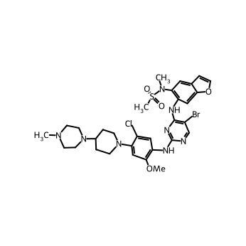 COc1cc(N2CCC(N3CCN(C)CC3)CC2)c(Cl)cc1Nc1ncc(Br)c(Nc2cc3occc3cc2N(C)S(C)(=O)=O)n1